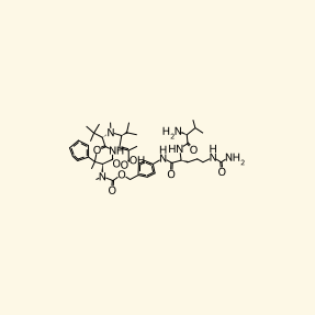 C/C(=C\[C@H](C(C)C)N(C)[C@H](C(=O)NC(=O)[C@@H](N(C)C(=O)OCc1ccc(NC(=O)[C@H](CCCNC(N)=O)NC(=O)[C@@H](N)C(C)C)cc1)C(C)(C)c1ccccc1)C(C)(C)C)C(=O)O